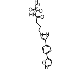 CS(=O)(=O)NC(=O)CCCn1cc(-c2ccc(-c3ccno3)cc2)cn1